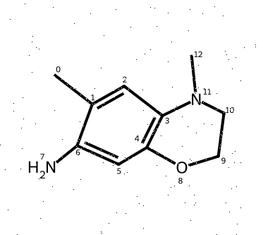 Cc1cc2c(cc1N)OCCN2C